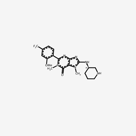 COc1cc(C(F)(F)F)ccc1-c1nc2nc(N[C@@H]3CCCNC3)n(C)c2c(=O)n1C